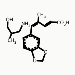 CC(C=CC(=O)O)=Cc1ccc2c(c1)OCO2.CC(CN)CO